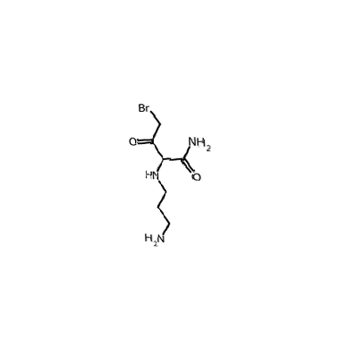 NCCCNC(C(N)=O)C(=O)CBr